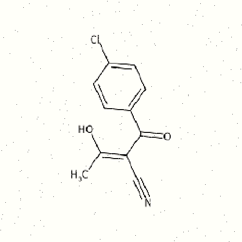 CC(O)=C(C#N)C(=O)c1ccc(Cl)cc1